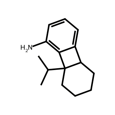 CC(C)C12CCCCC1c1cccc(N)c12